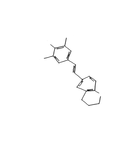 O=Cc1cc(C=Cc2ccc3c(c2)CCCO3)cc(F)c1O